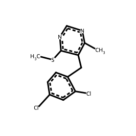 CSc1ncnc(C)c1Cc1ccc(Cl)cc1Cl